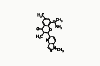 Cc1cc([C@@H](C)N)c2oc(-c3ccc4c(cnn4C)n3)c(C)c(=O)c2c1